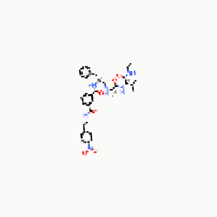 CCNC(=O)[C@@H](NC(=O)[C@H](C)NC[C@H](Cc1ccccc1)NC(=O)c1cccc(C(=O)NCCc2ccc([N+](=O)[O-])cc2)c1)C(C)C